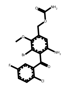 COc1c(COC(N)=O)cc(N)c(C(=O)c2cc(F)ccc2Cl)c1Br